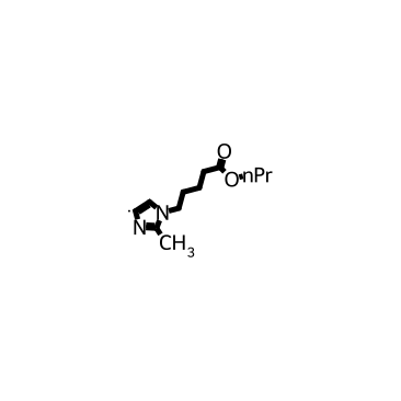 CCCOC(=O)CCCCn1c[c]nc1C